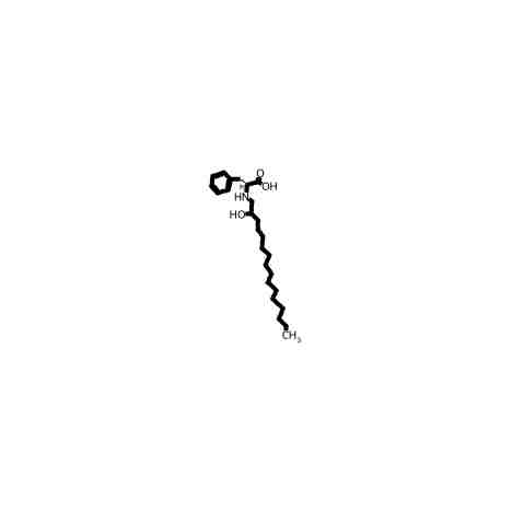 CCCCCCCCCCCCCCC(O)CN[C@H](Cc1ccccc1)C(=O)O